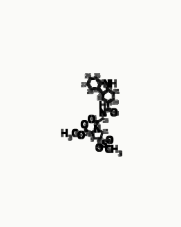 COC(=O)[C@@H]1C[C@@H](S(C)(=O)=O)CN1C(=O)CNC(=O)c1ccc2[nH]c3ccccc3c2c1